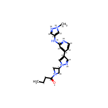 CCCC(=O)N1CC(n2cc(-c3ccnc(Nc4cnn(C)c4)c3)cn2)C1